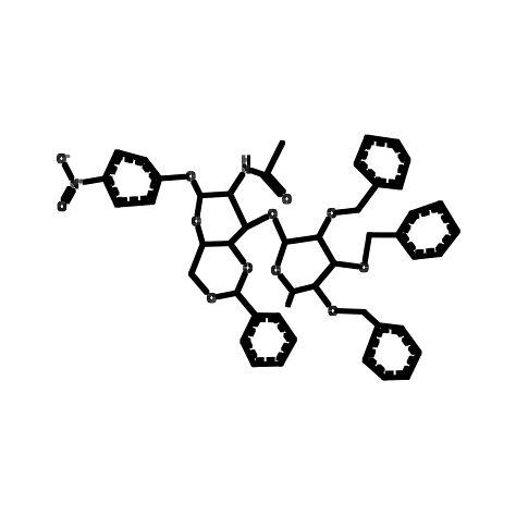 CC(=O)NC1C(Oc2ccc([N+](=O)[O-])cc2)OC2COC(c3ccccc3)OC2C1OC1OC(C)C(OCc2ccccc2)C(OCc2ccccc2)C1OCc1ccccc1